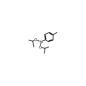 Cc1cc[c]([Al]([O]C(C)C)[O]C(C)C)cc1